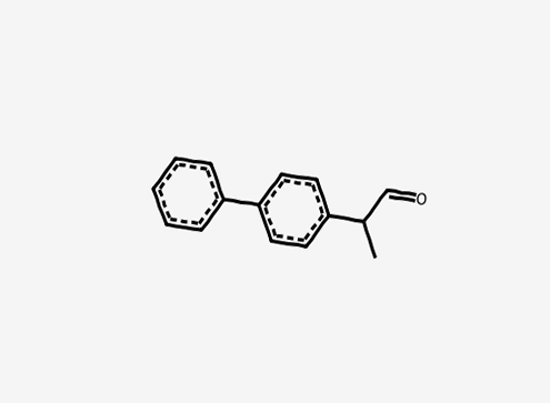 CC(C=O)c1ccc(-c2ccccc2)cc1